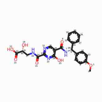 COc1ccc([C@H](NC(=O)c2cnc(C(=O)NC[C@@H](O)C(=O)O)nc2O)c2ccccc2)cc1